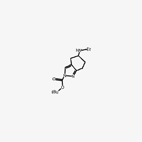 CCNC1CCc2nn(C(=O)OC(C)(C)C)cc2C1